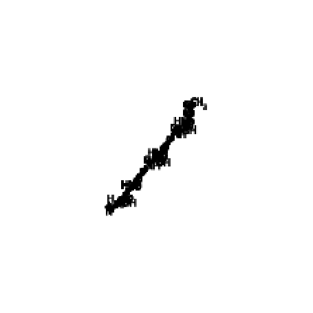 CCC(=O)N1CCC(C(=O)N[C@@H](CCC(=O)NCCOCCOCC(=O)N[C@@H](CCC(=O)NCCOCCOCC(=O)NCCCC[C@H](CC(=O)CCc2cnc[nH]2)C(=O)O)C(=O)O)C(=O)O)CC1